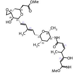 COC(=N)/C=C(\O)C(C)/C=C\C(=O)N[C@@H]1C[C@H](C)[C@H](C/C=C(C)/C=C/[C@H]2O[C@H](CC(=O)OC)C[C@@]3(CO3)[C@@H]2O)O[C@@H]1C